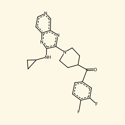 O=C(c1ccc(F)c(F)c1)C1CCN(c2nc3cnccc3nc2NC2CC2)CC1